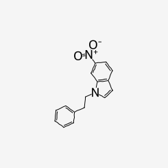 O=[N+]([O-])c1ccc2ccn(CCc3ccccc3)c2c1